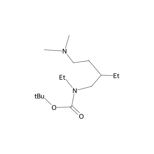 CCC(CCN(C)C)CN(CC)C(=O)OC(C)(C)C